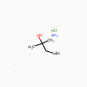 CCCCCC(C)(C)O.Cl.N